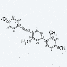 Cc1ccc(-c2ccc(C#Cc3ccc(C#N)cc3)c(C)c2)c(C)c1